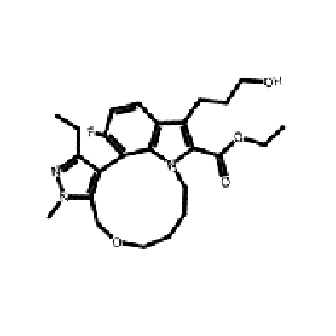 CCOC(=O)c1c(CCCO)c2ccc(F)c3c2n1CCCCOCc1c-3c(CC)nn1C